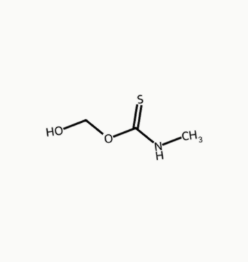 CNC(=S)OCO